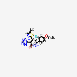 CCCCOc1ccc([C@]2(C)CC(c3ncc(CC)s3)=C(c3nnn[nH]3)C(=O)N2)c(F)c1